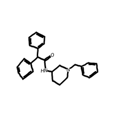 O=C(NC1CCCN(Cc2ccccc2)C1)C(c1ccccc1)c1ccccc1